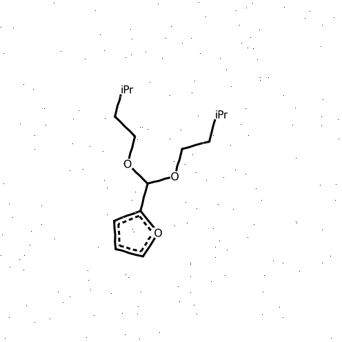 CC(C)CCOC(OCCC(C)C)c1ccco1